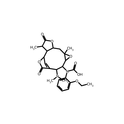 CCOc1ccccc1N(C(=O)O)C1C(N(C)C)C2=CC(OC2=O)C2C(CC3(C)OC13)OC(=O)C2C